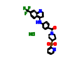 Cl.O=C(c1ccc(Nc2ccnc3cc(C(F)(F)F)ccc23)cc1)N1CCC(S(=O)(=O)c2ccccn2)CC1